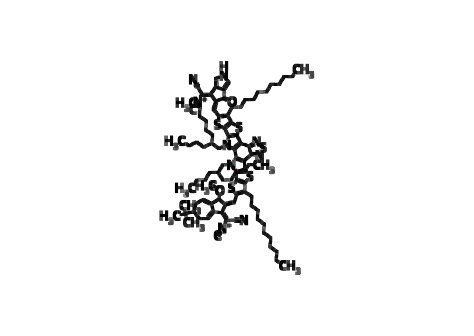 [C-]#[N+]/C(C#N)=C1\C(=C\c2sc3c(sc4c5c6nsnc6c6c7sc8c(CCCCCCCCCCC)c(/C=C9/C(=C(\C#N)[N+]#[C-])C%10=CCC(C(C)(C)C)CC=C%10C9OC)sc8c7n(CC(CCCC)CCCCCC)c6c5n(CC(CCCC)CCCCCC)c34)c2CCCCCCCCCCC)C(=O)c2c[nH]cc21